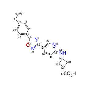 CC(C)Cc1ccc(-c2nc(-c3ccc(N[C@H]4C[C@@H](C(=O)O)C4)nc3)no2)cc1